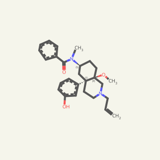 C=CCN1CC[C@@]2(c3cccc(O)c3)C[C@@H](N(C)C(=O)c3ccccc3)CC[C@]2(OC)C1